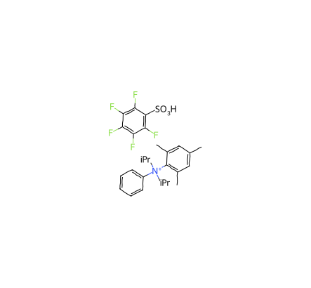 Cc1cc(C)c([N+](c2ccccc2)(C(C)C)C(C)C)c(C)c1.O=S(=O)(O)c1c(F)c(F)c(F)c(F)c1F